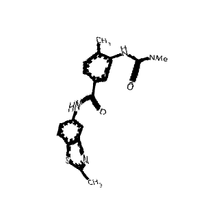 CNC(=O)Nc1cc(C(=O)Nc2ccc3sc(C)nc3c2)ccc1C